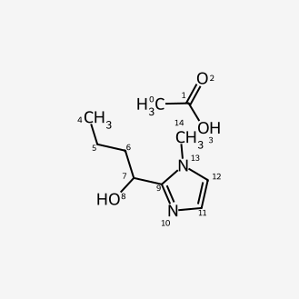 CC(=O)O.CCCC(O)c1nccn1C